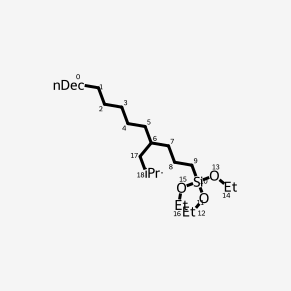 CCCCCCCCCCCCCCCC(CCC[Si](OCC)(OCC)OCC)C[C](C)C